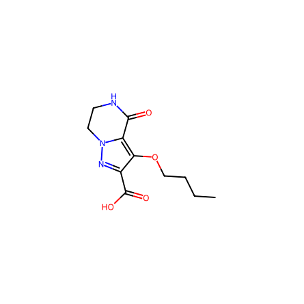 CCCCOc1c(C(=O)O)nn2c1C(=O)NCC2